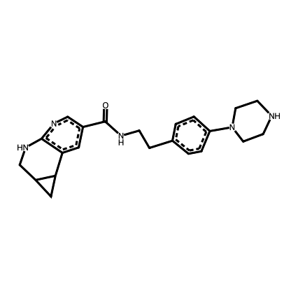 O=C(NCCc1ccc(N2CCNCC2)cc1)c1cnc2c(c1)C1CC1CN2